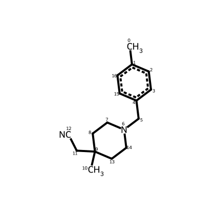 Cc1ccc(CN2CCC(C)(CC#N)CC2)cc1